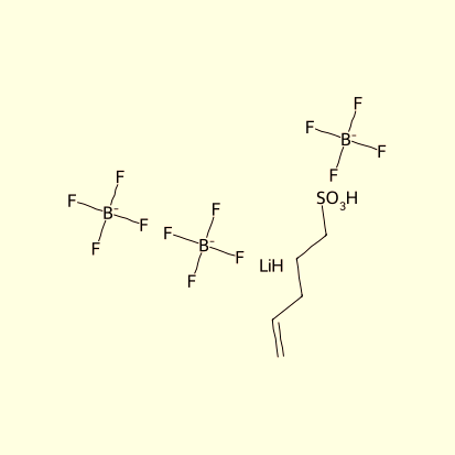 C=CCCCS(=O)(=O)O.F[B-](F)(F)F.F[B-](F)(F)F.F[B-](F)(F)F.[LiH]